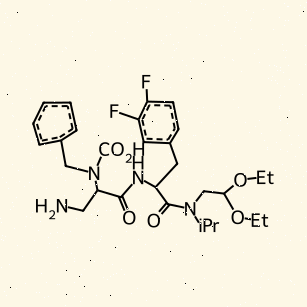 CCOC(CN(C(=O)C(Cc1ccc(F)c(F)c1)NC(=O)C(CN)N(Cc1ccccc1)C(=O)O)C(C)C)OCC